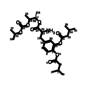 CC(C)CC(=O)Oc1ccc(C[C@H](N)C(=O)O[C@@H](C)C(C)OC(=O)OC(C)C)cc1OC(=O)CC(C)C